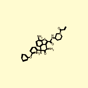 C=CC(=O)N1CCCC(NC(=O)c2sc3c(N)ccc4c3c2C(N)C(=O)C4(N)c2cccc(Oc3ccccc3)n2)C1